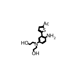 CC(=O)c1ccc(-c2cc(N(CCO)CCO)ccc2N)s1